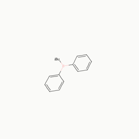 CCC(C)B(c1ccccc1)c1ccccc1